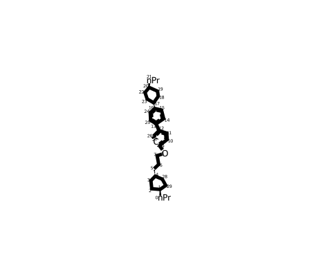 CCC[C@H]1CC[C@H](CCCOc2ccc(-c3ccc([C@H]4CC[C@H](CCC)CC4)cc3)cc2)CC1